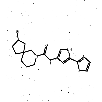 CCC1CCC2(CCCN(C(=O)Nc3c[nH]c(-c4nccs4)c3)C2)C1